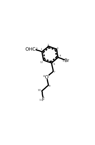 O=Cc1ccc(Br)c(COCCF)c1